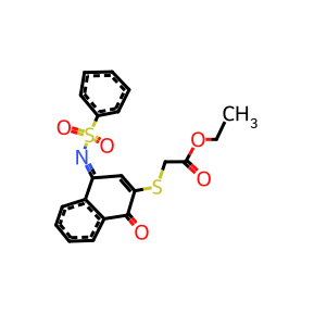 CCOC(=O)CSC1=C/C(=N\S(=O)(=O)c2ccccc2)c2ccccc2C1=O